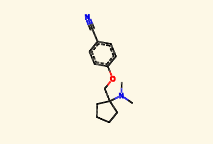 CN(C)C1(COc2ccc(C#N)cc2)CCCC1